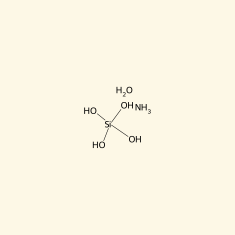 N.O.O[Si](O)(O)O